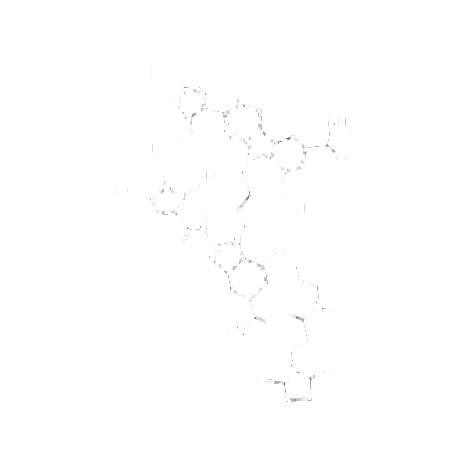 CCn1nc(C)cc1C(=O)Nc1nc2cc(C(N)=O)cc(OCCCN(C)C(=O)CCN3C(=O)C=CC3=O)c2n1C/C=C/Cn1c2nc(-c3nc(C)nn3CC)ncc2c2cc(C(N)=O)cc(OC)c21